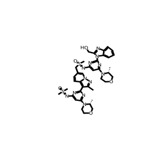 Cc1nn2cc(CS(C)(=O)=Nc3cc(N4CCOC[C@H]4C)nc(-n4c(CO)nc5ccccc54)n3)ccc2c1-c1nc(N=S(C)(C)=O)cc(N2CCOC[C@H]2C)n1